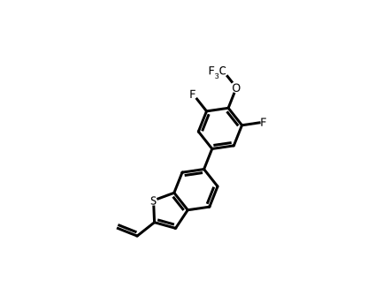 C=Cc1cc2ccc(-c3cc(F)c(OC(F)(F)F)c(F)c3)cc2s1